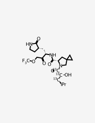 [13CH3][13CH]([13CH3])[13CH2][13C@@H](O)[13C](=O)N1CC2(CC2)C[C@H]1C(=O)N[C@@H](C[C@@H]1CCNC1=O)C(=O)COC(F)(F)F